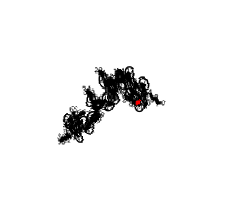 CCCCC[C@@H](C(=O)NCNC(=O)c1ccc(-c2cc(OCC)cc(O[PH](=O)Oc3cc(OCC)cc(-c4ccc(C(=O)NCNC(=O)[C@H](CCCCC)[C@@H](CC)N(C=O)OC(=O)C(CC)CC)o4)c3)c2)o1)[C@@H](CC)N(C=O)OC(=O)C(CC)CC